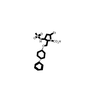 CCC1CC(NS(C)(=O)=O)C(CO[C@H]2CC[C@@H](c3ccccc3)CC2)N1C(=O)O